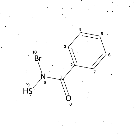 O=C(c1ccccc1)N(S)Br